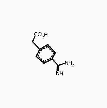 N=C(N)c1ccc(CC(=O)O)cc1